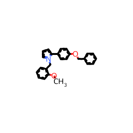 COc1ccccc1Cn1cccc1-c1ccc(OCc2ccccc2)cc1